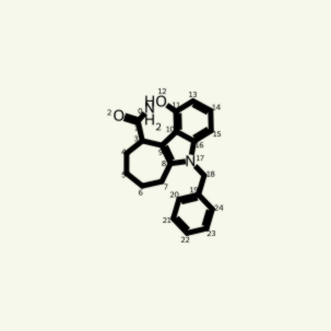 NC(=O)C1CCCCc2c1c1c(O)cccc1n2Cc1ccccc1